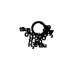 CC(C)(C)OC(=O)NC1CCCCCC=CC2CC2(S(=O)(=O)C2CC2)NC(=O)C2(C(N)=O)CC(O[Si](C)(C)C(C)(C)C)CN2C1=O